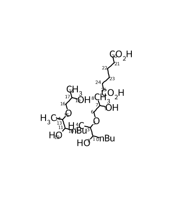 CCCCC(O)C(C)OCC(C)O.CCCCC(O)C(C)OCC(C)O.O=C(O)CCCCC(=O)O